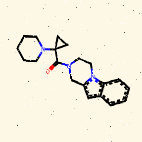 O=C(N1CCn2c(cc3ccccc32)C1)C1(N2CCCCC2)CC1